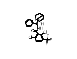 O=C(NC(c1ccccc1)[C@@H]1CC2CCN1CC2)c1c(Cl)ccc(C(F)(F)F)c1Cl